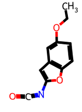 CCOc1ccc2oc(N=C=O)cc2c1